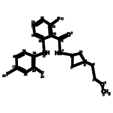 COCCN1CC(NC(=O)c2c(F)cncc2Nc2ccc(I)cc2F)C1